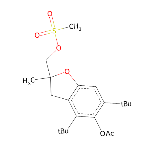 CC(=O)Oc1c(C(C)(C)C)cc2c(c1C(C)(C)C)CC(C)(COS(C)(=O)=O)O2